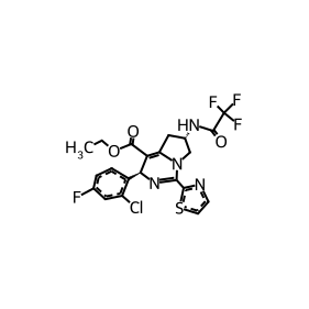 CCOC(=O)C1=C2C[C@H](NC(=O)C(F)(F)F)CN2C(c2nccs2)=N[C@H]1c1ccc(F)cc1Cl